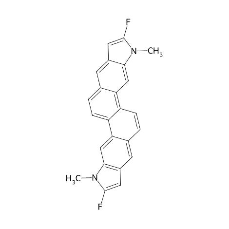 Cn1c(F)cc2cc3ccc4c5cc6c(cc(F)n6C)cc5ccc4c3cc21